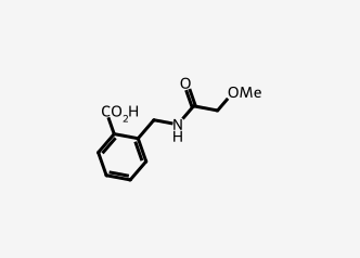 COCC(=O)NCc1ccccc1C(=O)O